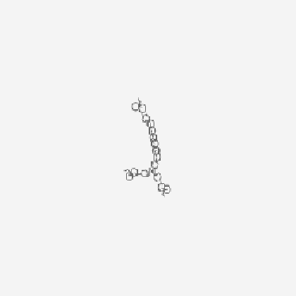 C=CC(=O)OCc1ccc(OCOCOCOCOCOc2ccc(N(c3ccc(COC(=O)C=C)cc3)c3ccc(COC(=O)C=C)cc3)cc2)cc1